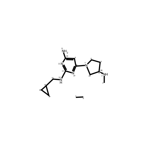 CC.CN[C@@H]1CCN(c2cc(N)nc(NCC3CC3)n2)C1